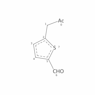 CC(=O)Cc1ccc(C=O)s1